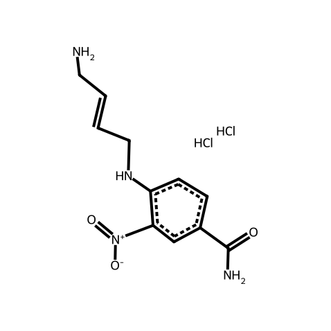 Cl.Cl.NCC=CCNc1ccc(C(N)=O)cc1[N+](=O)[O-]